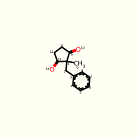 CC1(Cc2ccccc2)C(=O)CCC1=O